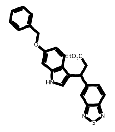 CCOC(=O)CC(c1ccc2nsnc2c1)c1c[nH]c2cc(OCc3ccccc3)ccc12